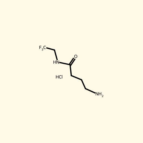 Cl.NCCCC(=O)NCC(F)(F)F